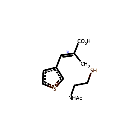 C/C(=C\c1ccsc1)C(=O)O.CC(=O)NCCS